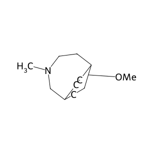 COC1CCC2CCC1CCN(C)C2